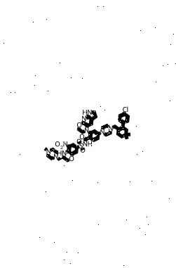 CN1CCN(C[C@@H]2COc3cc(S(=O)(=O)NC(=O)c4ccc(N5CCN(CC6=C(c7ccc(Cl)cc7)CC(C)(C)CC6)CC5)cc4N4CCOc5nc6[nH]ccc6cc54)cc([N+](=O)[O-])c3N2)CC1